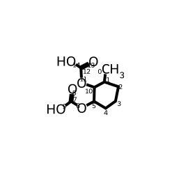 CC1CCCC(OC(=O)O)C1OC(=O)O